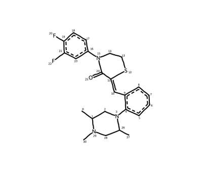 CC1CN(c2ccccc2/C=C2\SCCN(c3ccc(F)c(F)c3)C2=O)C(C)CN1C